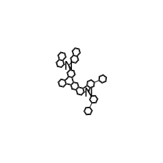 c1ccc(-c2cccc(-n3c4cc(-c5ccccc5)ccc4c4c5cc6c7ccc(N(c8ccc9ccccc9c8)c8cccc9ccccc89)cc7c7ccccc7c6cc5ccc43)c2)cc1